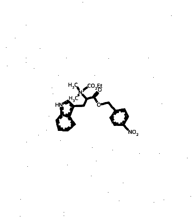 CCOC(=O)[N+](C)(C)C(Cc1c[nH]c2ccccc12)C(=O)OCc1ccc([N+](=O)[O-])cc1